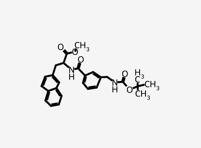 COC(=O)C(Cc1ccc2ccccc2c1)NC(=O)c1cccc(CNC(=O)OC(C)(C)C)c1